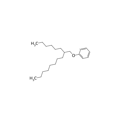 CCCCCCCCC(CCCCCC)COc1[c]cccc1